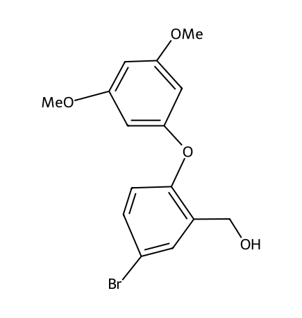 COc1cc(OC)cc(Oc2ccc(Br)cc2CO)c1